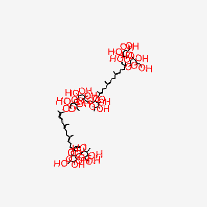 C=CC(C)(CC/C=C(\C)CC/C=C(\C)CC/C=C(/C)COC1OC(C)C(O)C(OC2OC(COC3OC(C)C(O)C(O)C3OC(=O)/C(C)=C/CC/C(C)=C/CC/C(C)=C/CCC(C)(C=C)OC3OC(CO)C(O)C(O)C3OC3OC(CO)C(O)C(O)C3O)C(O)C(O)C2O)C1O)OC1OC(CO)C(O)C(O)C1OC1OC(CO)C(O)C(C)C1O